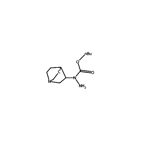 CCCCOC(=O)N(N)C1CN2CCC1CC2